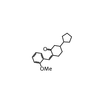 COc1ccccc1C=C1CCC(C2CCCC2)CC1=O